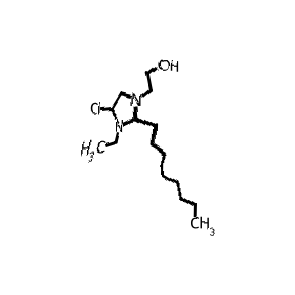 CCCCCCCCC1N(CCO)CC(Cl)N1CC